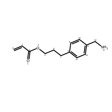 C=CC(=O)OCCCc1ccc(CN)cc1